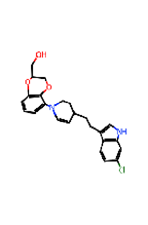 OCC1COc2c(cccc2N2C=CC(CCc3c[nH]c4cc(Cl)ccc34)CC2)O1